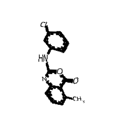 Cc1cccc2nc(Nc3cccc(Cl)c3)oc(=O)c12